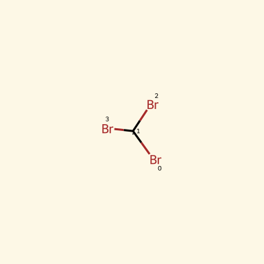 Br[C](Br)Br